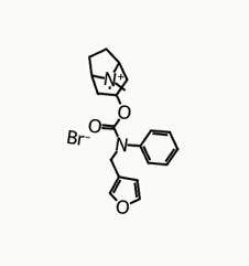 C[N+]1(C)C2CCC1CC(OC(=O)N(Cc1ccoc1)c1ccccc1)C2.[Br-]